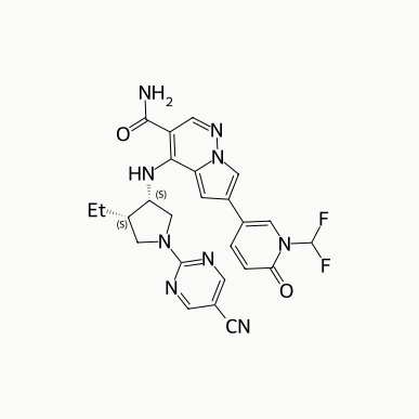 CC[C@H]1CN(c2ncc(C#N)cn2)C[C@H]1Nc1c(C(N)=O)cnn2cc(-c3ccc(=O)n(C(F)F)c3)cc12